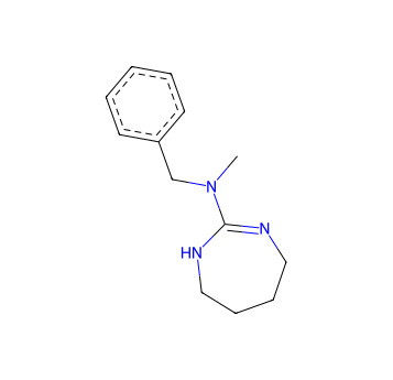 CN(Cc1ccccc1)C1=NCCCCN1